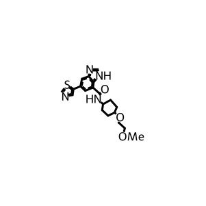 COCCOC1CCC(NC(=O)c2cc(-c3cncs3)cc3nc[nH]c23)CC1